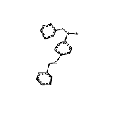 CC(C)N(Cc1ccccc1)c1ccc(OCc2ccccc2)cc1